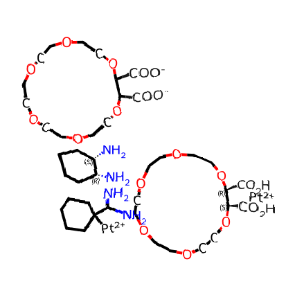 NC(N)[C]1([Pt+2])CCCCC1.N[C@@H]1CCCC[C@@H]1N.O=C(O)[C@H]1OCCOCCOCCOCCOCCO[C@H]1C(=O)O.O=C([O-])C1OCCOCCOCCOCCOCCOC1C(=O)[O-].[Pt+2]